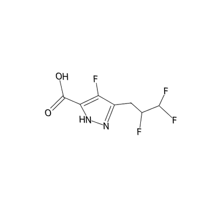 O=C(O)c1[nH]nc(CC(F)C(F)F)c1F